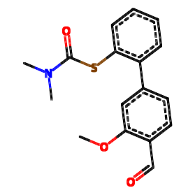 COc1cc(-c2ccccc2SC(=O)N(C)C)ccc1C=O